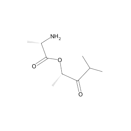 CC(C)C(=O)[C@H](C)OC(=O)[C@H](C)N